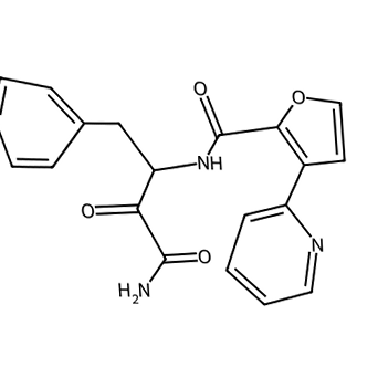 NC(=O)C(=O)C(Cc1ccccc1)NC(=O)c1occc1-c1ccccn1